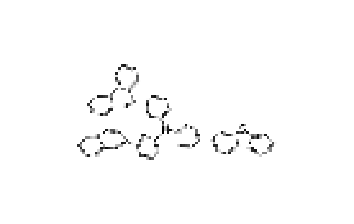 c1cc(-c2ccc3ccccc3c2)cc(N(c2ccc(-c3ccc4c(c3)sc3ccccc34)cc2)c2cccc(-c3cc4ccccc4c4ccccc34)c2)c1